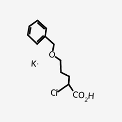 O=C(O)C(Cl)CCCOCc1ccccc1.[K]